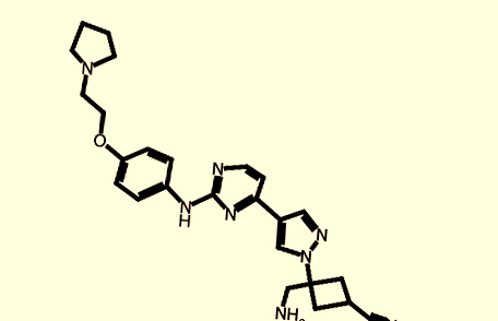 N#CC1CC(CN)(n2cc(-c3ccnc(Nc4ccc(OCCN5CCCC5)cc4)n3)cn2)C1